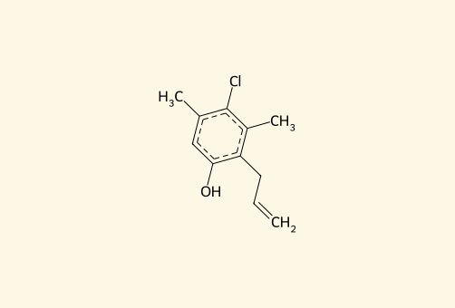 C=CCc1c(O)cc(C)c(Cl)c1C